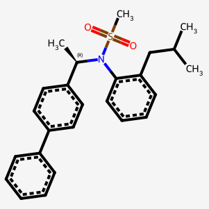 CC(C)Cc1ccccc1N([C@H](C)c1ccc(-c2ccccc2)cc1)S(C)(=O)=O